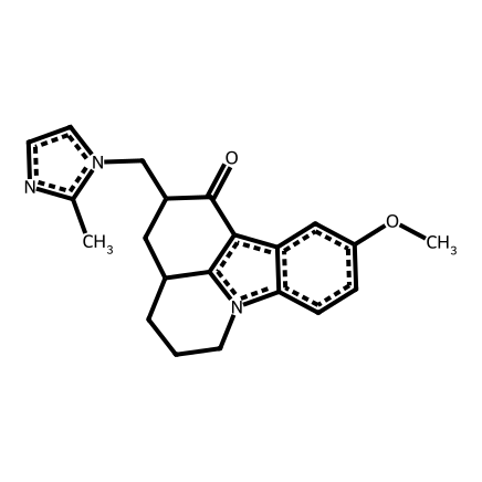 COc1ccc2c(c1)c1c3n2CCCC3CC(Cn2ccnc2C)C1=O